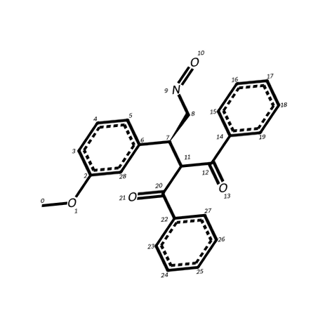 COc1cccc([C@@H](CN=O)C(C(=O)c2ccccc2)C(=O)c2ccccc2)c1